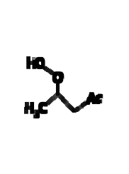 CC(=O)CC(C)OO